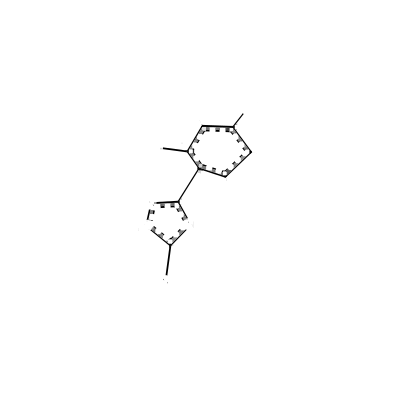 Nc1nc(-c2ccc(Cl)cc2Cl)ns1